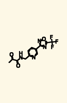 CC(=O)C(=O)NCc1ccc(-c2noc(C(F)(F)F)n2)cn1